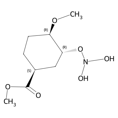 COC(=O)[C@H]1CC[C@@H](OC)[C@H](ON(O)O)C1